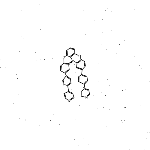 S=P12c3cc(-c4ccc(-c5ccncc5)cc4)ccc3Oc3cccc(c31)Oc1ccc(-c3ccc(-c4ccncc4)cc3)cc12